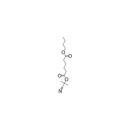 CCCCOC(=O)CCCCC(=O)OC(C)(C)C#N